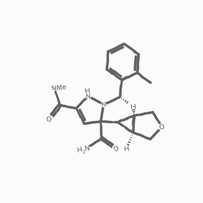 CNC(=O)C1=CC(C(N)=O)(C2[C@H]3COC[C@@H]23)N([C@@H](C)c2ccccc2C)N1